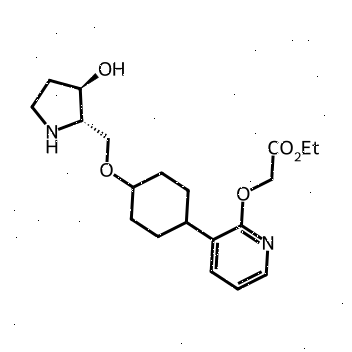 CCOC(=O)COc1ncccc1C1CCC(OC[C@@H]2NCC[C@H]2O)CC1